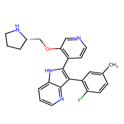 Cc1ccc(F)c(-c2c(-c3ccncc3OC[C@@H]3CCCN3)[nH]c3cccnc23)c1